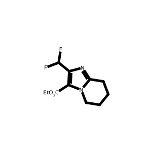 CCOC(=O)c1c(C(F)F)nc2n1CCCC2